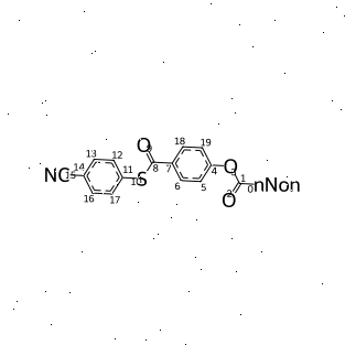 CCCCCCCCCC(=O)Oc1ccc(C(=O)Sc2ccc(C#N)cc2)cc1